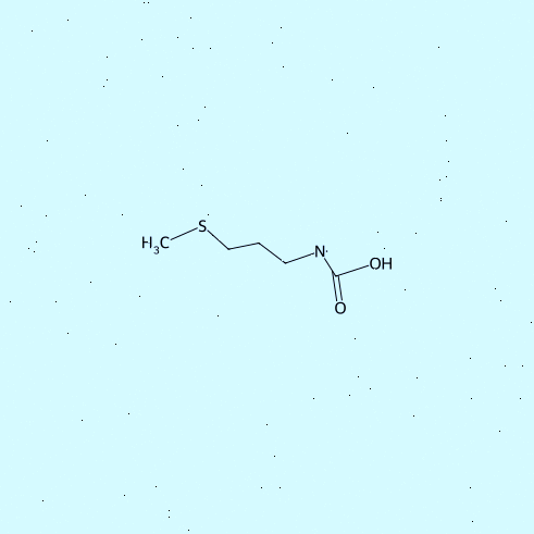 CSCCC[N]C(=O)O